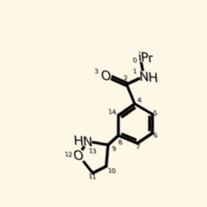 CC(C)NC(=O)c1cccc(C2CCON2)c1